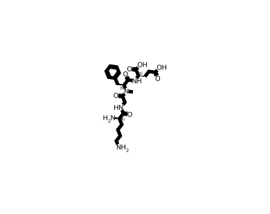 CN(C(=O)CNC(=O)[C@H](N)CCCCN)[C@@H](Cc1ccccc1)C(=O)N[C@@H](CCC(=O)O)C(=O)O